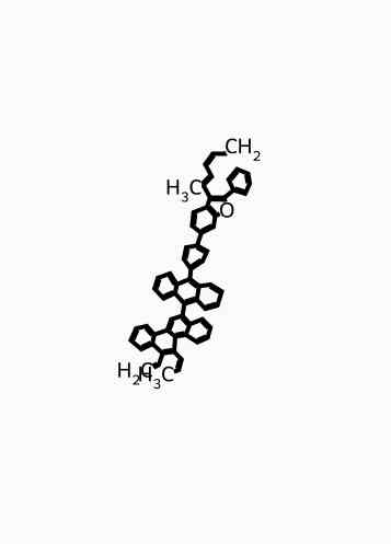 C=C/C=C\C=C(/C)c1c(-c2ccccc2)oc2cc(-c3ccc(-c4c5ccccc5c(-c5cc6c7ccccc7c(C=C)c(/C=C\C)c6c6ccccc56)c5ccccc45)cc3)ccc12